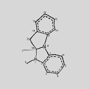 CN1c2ccccc2N2c3ccccc3C[C@]12C